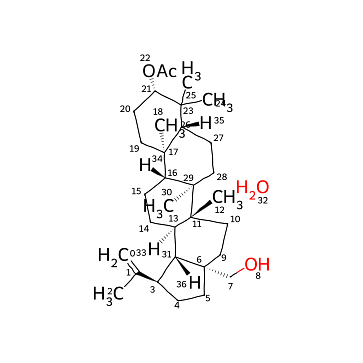 C=C(C)[C@@H]1CC[C@]2(CO)CC[C@]3(C)[C@H](CC[C@@H]4[C@@]5(C)CC[C@H](OC(C)=O)C(C)(C)[C@@H]5CC[C@]43C)[C@@H]12.O